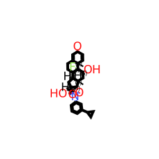 C[C@]12C=CC(=O)C=C1CC[C@H]1[C@@H]3C[C@H]4CN(c5cccc(C6CC6)c5)O[C@@]4(C(=O)CO)[C@@]3(C)C[C@H](O)[C@@]12F